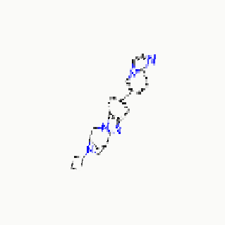 c1cn2cc(-c3ccc4c(c3)nc3n4CC4CC3CN4C3CCC3)ccc2n1